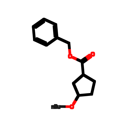 CCCCOC1CCC(C(=O)OCc2ccccc2)C1